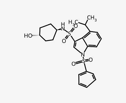 CC(C)c1cccc2c1c(S(=O)(=O)N[C@H]1CC[C@H](O)CC1)cn2S(=O)(=O)c1ccccc1